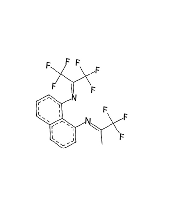 C/C(=N\c1cccc2cccc(N=C(C(F)(F)F)C(F)(F)F)c12)C(F)(F)F